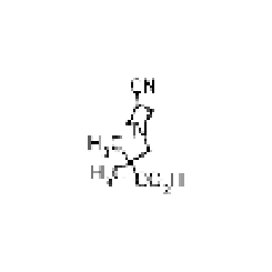 CC(C)(CN1CC(C#N)C1)C(=O)O